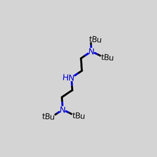 CC(C)(C)N(CCNCCN(C(C)(C)C)C(C)(C)C)C(C)(C)C